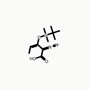 C/C=C(/O[Si](C)(C)C(C)(C)C)C(=[N+]=[N-])C(=O)O